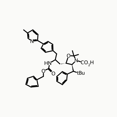 Cc1ccc(-c2ccc(CC(C[C@@H]3OC(C)(C)N(C(=O)O)[C@H]3C(c3ccccc3)C(C)(C)C)NC(=O)OCc3ccccc3)cc2)nc1